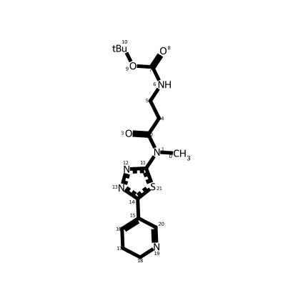 CN(C(=O)CCNC(=O)OC(C)(C)C)c1nnc(C2=CCCN=C2)s1